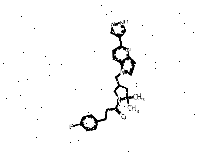 CC1(C)CC(Cn2ccc3nc(-c4cn[nH]c4)ccc32)CN1C(=O)CCc1ccc(F)cc1